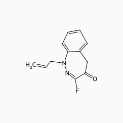 C=CCN1N=C(F)C(=O)Cc2ccccc21